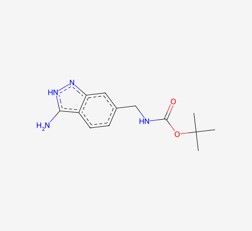 CC(C)(C)OC(=O)NCc1ccc2c(N)[nH]nc2c1